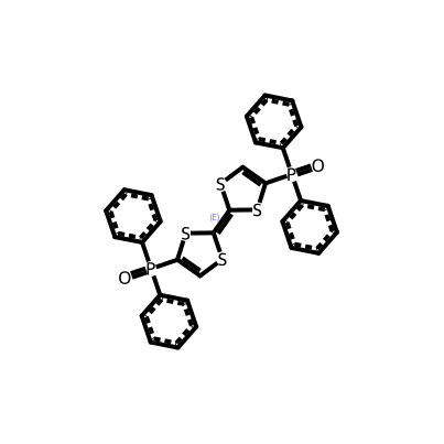 O=P(C1=CS/C(=C2/SC=C(P(=O)(c3ccccc3)c3ccccc3)S2)S1)(c1ccccc1)c1ccccc1